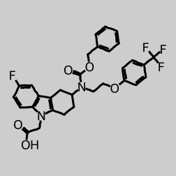 O=C(O)Cn1c2c(c3cc(F)ccc31)CC(N(CCOc1ccc(C(F)(F)F)cc1)C(=O)OCc1ccccc1)CC2